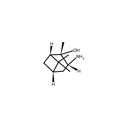 CC1(C)[C@@H]2C[C@@H](N)[C@@](C)(O)[C@H]1C2